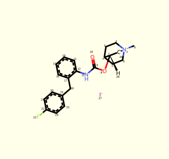 C[N+]12CCC(CC1)[C@@H](OC(=O)Nc1ccccc1Cc1ccc(F)cc1)C2.[I-]